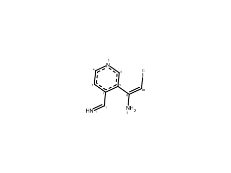 N=Cc1ccncc1/C(N)=C\I